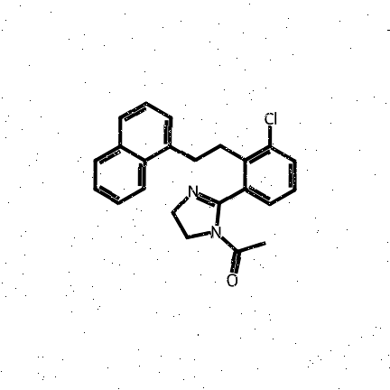 CC(=O)N1CCN=C1c1cccc(Cl)c1CCc1cccc2ccccc12